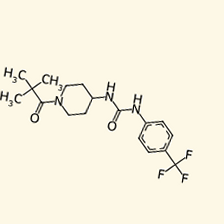 CC(C)(C)C(=O)N1CCC(NC(=O)Nc2ccc(C(F)(F)F)cc2)CC1